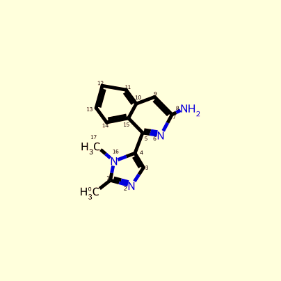 Cc1ncc(-c2nc(N)cc3ccccc23)n1C